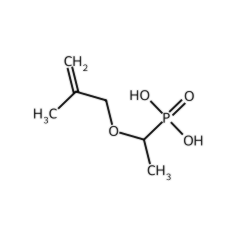 C=C(C)COC(C)P(=O)(O)O